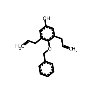 C=CCc1cc(O)cc(CC=C)c1OCc1ccccc1